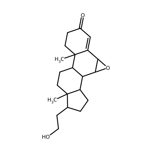 CC12CCC(=O)C=C1C1OC1C1C2CCC2(C)C(CCO)CCC12